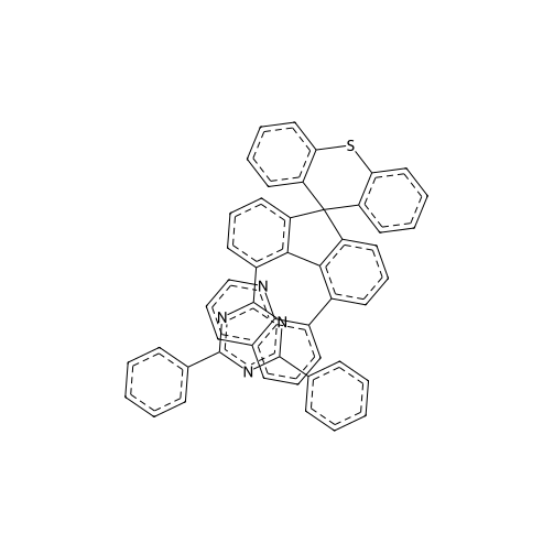 c1ccc(-c2nc(-c3ccccc3)nc(-c3cccc4c3-c3c(-c5cccc6cccnc56)cccc3C43c4ccccc4Sc4ccccc43)n2)cc1